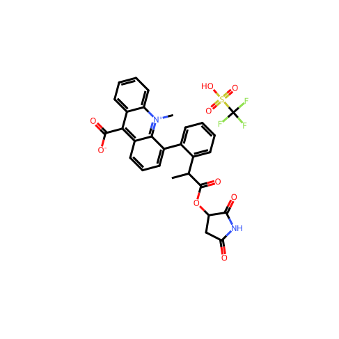 CC(C(=O)OC1CC(=O)NC1=O)c1ccccc1-c1cccc2c(C(=O)[O-])c3ccccc3[n+](C)c12.O=S(=O)(O)C(F)(F)F